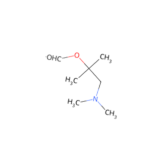 CN(C)CC(C)(C)O[C]=O